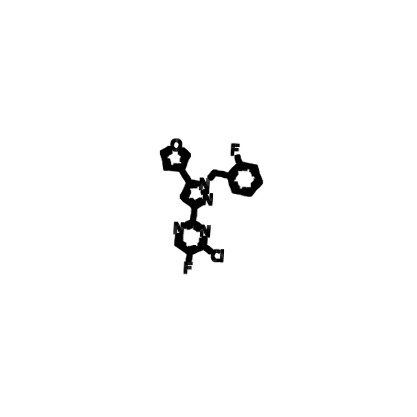 Fc1ccccc1Cn1nc(-c2ncc(F)c(Cl)n2)cc1-c1ccoc1